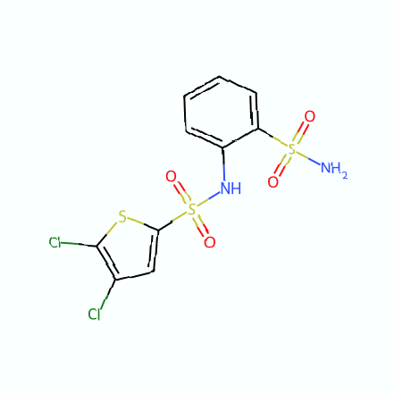 NS(=O)(=O)c1ccccc1NS(=O)(=O)c1cc(Cl)c(Cl)s1